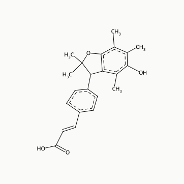 Cc1c(C)c2c(c(C)c1O)C(c1ccc(C=CC(=O)O)cc1)C(C)(C)O2